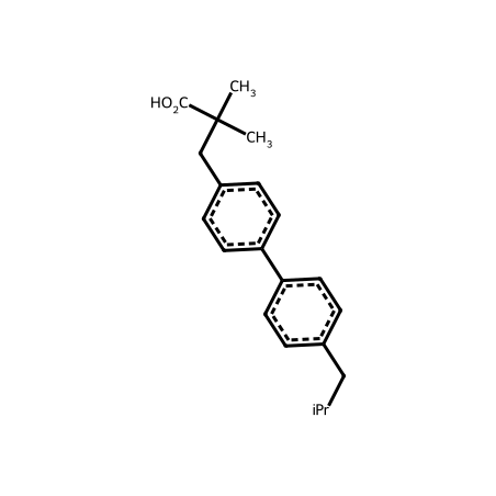 CC(C)Cc1ccc(-c2ccc(CC(C)(C)C(=O)O)cc2)cc1